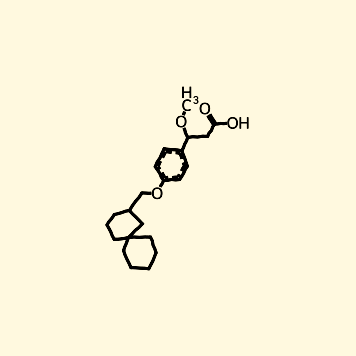 COC(CC(=O)O)c1ccc(OCC2CCCC3(CCCCC3)C2)cc1